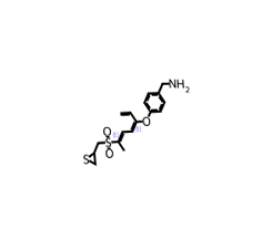 C=C/C(=C\C=C(/C)S(=O)(=O)CC1CS1)Oc1ccc(CN)cc1